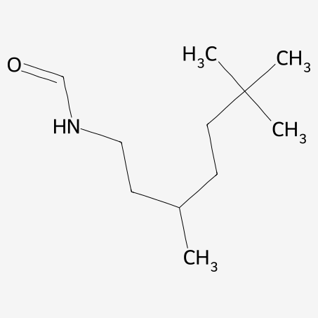 CC(CCNC=O)CCC(C)(C)C